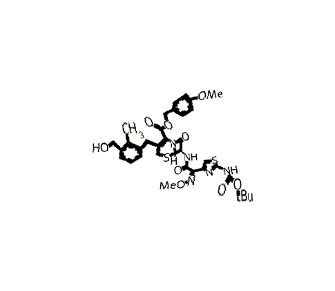 CO/N=C(\C(=O)N[C@@H]1C(=O)N2C(C(=O)OCc3ccc(OC)cc3)=C(Cc3cccc(CO)c3C)CS[C@H]12)c1csc(NC(=O)OC(C)(C)C)n1